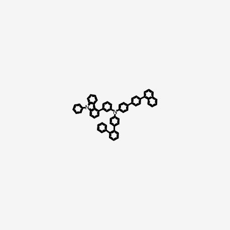 c1ccc(-c2ccccc2-c2ccc(N(c3ccc(-c4ccc(-c5cccc6ccccc56)cc4)cc3)c3cccc(-c4cccc5c4c4ccccc4n5-c4ccccc4)c3)cc2)cc1